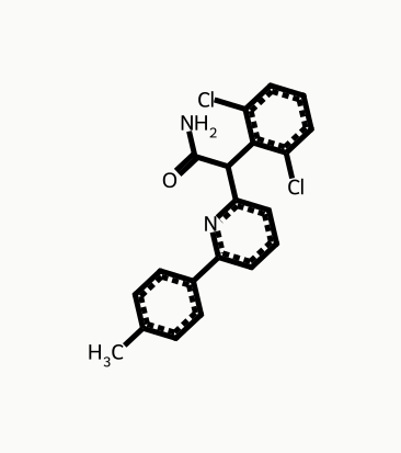 Cc1ccc(-c2cccc(C(C(N)=O)c3c(Cl)cccc3Cl)n2)cc1